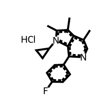 Cc1cnc(-c2ccc(F)cc2)c2c1c(C)c(C)n2C1CC1.Cl